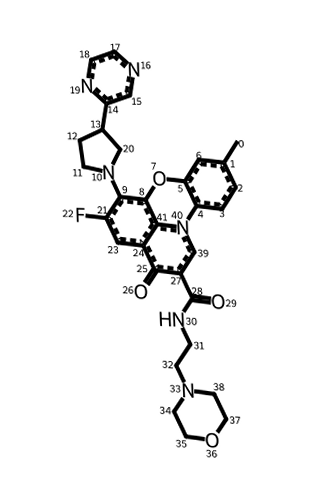 Cc1ccc2c(c1)Oc1c(N3CCC(c4cnccn4)C3)c(F)cc3c(=O)c(C(=O)NCCN4CCOCC4)cn-2c13